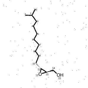 CC(C)CCCCCCCC[C@H]1O[C@@H]1CO